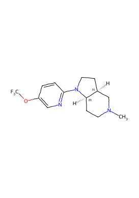 CN1CC[C@@H]2[C@@H](CCN2c2ccc(OC(F)(F)F)cn2)C1